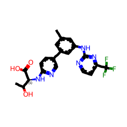 Cc1cc(Nc2nccc(C(F)(F)F)n2)cc(-c2ccc(N[C@H](C(=O)O)C(C)O)nc2)c1